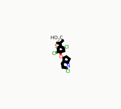 O=C(O)Cc1csc2c(Cl)c(O[C@@H]3CCc4nc(Cl)ccc43)cc(Cl)c12